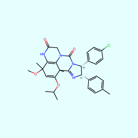 COC1(C)C=C(OC(C)C)C2(C)C3=N[C@@H](c4ccc(C)cc4)[C@@H](c4ccc(Cl)cc4)N3C(=O)N3CC(=O)NC1=C32